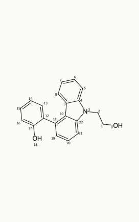 OCCn1c2ccccc2c2c(-c3ccccc3O)cccc21